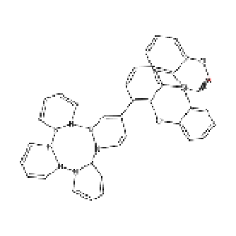 C1=CB2N(C=C1)B1C=CC=CN1B1C=C(c3cccc4c3Oc3ccccc3[Si]43c4ccccc4Oc4ccccc43)C=CN1B1C=CC=CN21